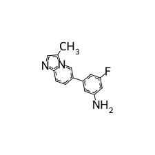 Cc1cnc2ccc(-c3cc(N)cc(F)c3)cn12